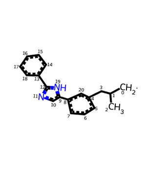 [CH2]C(C)Cc1cccc(-c2cnc(-c3ccccc3)[nH]2)c1